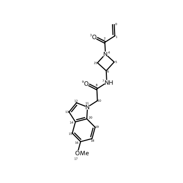 C=CC(=O)N1CC(NC(=O)Cn2ccc3cc(OC)ccc32)C1